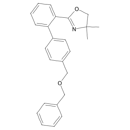 CC1(C)COC(c2ccccc2-c2ccc(COCc3ccccc3)cc2)=N1